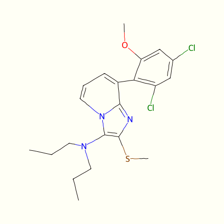 CCCN(CCC)c1c(SC)nc2c(-c3c(Cl)cc(Cl)cc3OC)cccn12